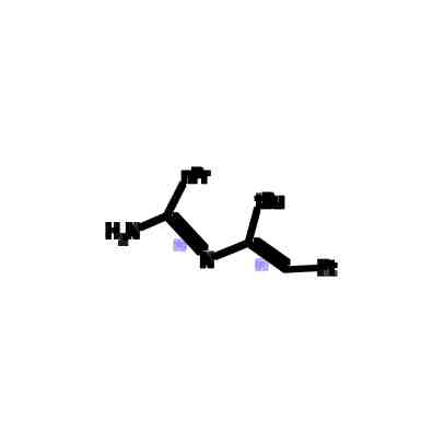 CC/C=C(/N=C(/N)CCC)C(C)(C)C